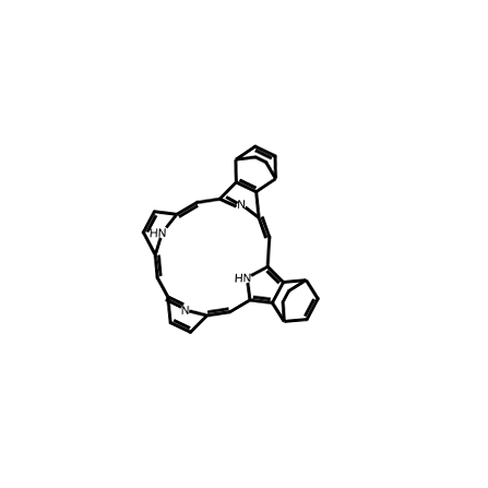 C1=Cc2cc3[nH]c(cc4nc(cc5ccc(cc1n2)[nH]5)C1=C4C2C=CC1CC2)c1c3C2C=CC1CC2